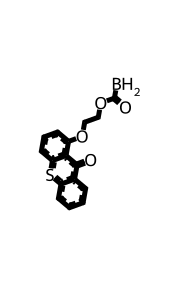 BC(=O)OCCOc1cccc2sc3ccccc3c(=O)c12